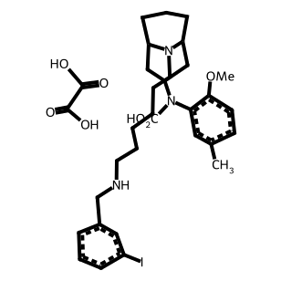 COc1ccc(C)cc1N(C(=O)O)C1CC2CCCC(C1)N2CCCCCCNCc1cccc(I)c1.O=C(O)C(=O)O